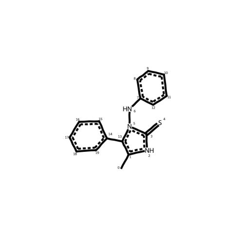 Cc1[nH]c(=S)n(Nc2ccccc2)c1-c1ccccc1